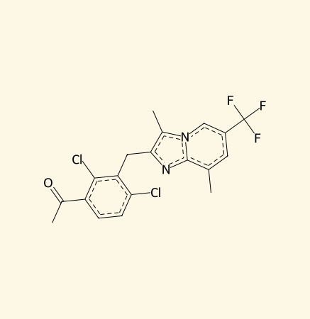 CC(=O)c1ccc(Cl)c(Cc2nc3c(C)cc(C(F)(F)F)cn3c2C)c1Cl